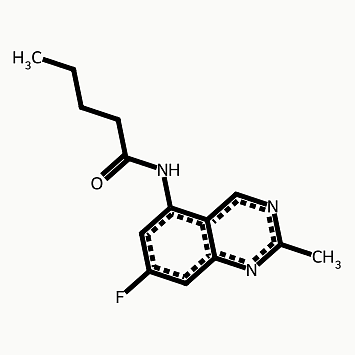 CCCCC(=O)Nc1cc(F)cc2nc(C)ncc12